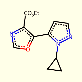 CCOC(=O)c1ncoc1-c1ccnn1C1CC1